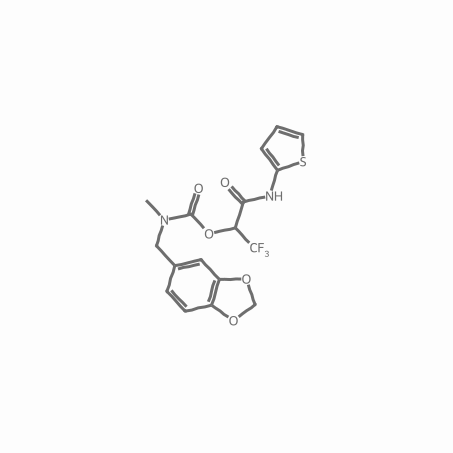 CN(Cc1ccc2c(c1)OCO2)C(=O)OC(C(=O)Nc1cccs1)C(F)(F)F